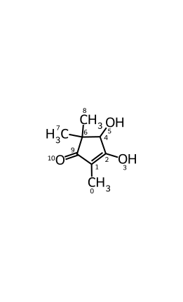 CC1=C(O)C(O)C(C)(C)C1=O